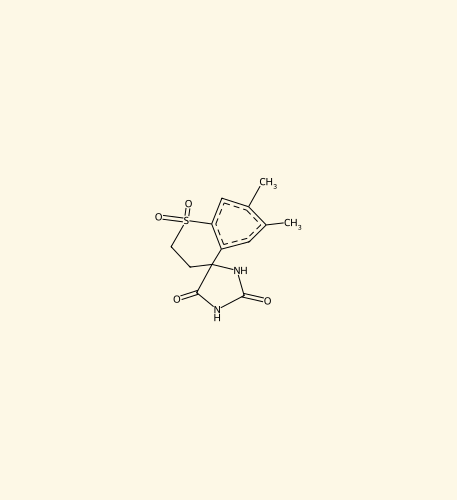 Cc1cc2c(cc1C)S(=O)(=O)CCC21NC(=O)NC1=O